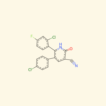 N#Cc1cc(-c2ccc(Cl)cc2)c(-c2ccc(F)cc2Cl)[nH]c1=O